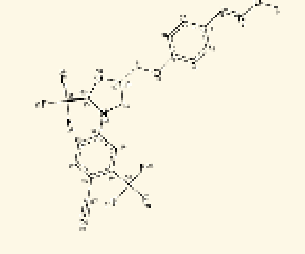 CON=Cc1ccc(OC[C@@H]2CN(c3ccc(C#N)c(C(F)(F)F)c3)[C@@H](C(F)(F)F)O2)cc1